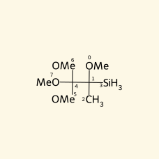 COC(C)([SiH3])C(OC)(OC)OC